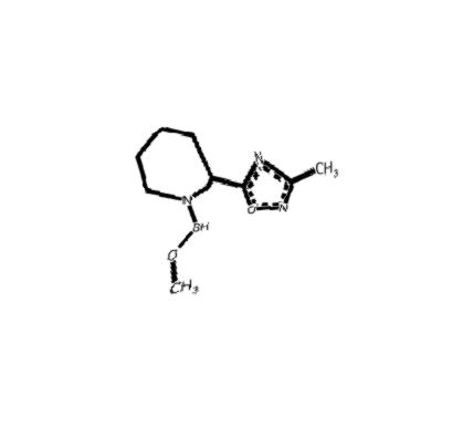 COBN1CCCCC1c1nc(C)no1